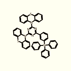 c1ccc([Si](c2ccccc2)(c2ccccc2)c2cccc(-c3nc(N4c5ccccc5Sc5ccccc54)nc(N4c5ccccc5Sc5ccccc54)n3)c2)cc1